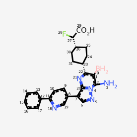 Bc1c(N)n2ncc(-c3ccc(-c4ccccc4)nc3)c2nc1[C@H]1CC[C@@H](C(F)C(=O)O)CC1